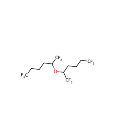 FC(F)(F)CCCC(OC(CCCC(F)(F)F)C(F)(F)F)C(F)(F)F